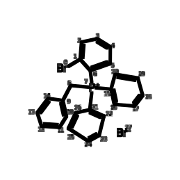 Brc1ccccc1[P+](Cc1ccccc1)(c1ccccc1)c1ccccc1.[Br-]